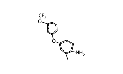 Cc1cc(Oc2cccc(OC(F)(F)F)c2)ccc1N